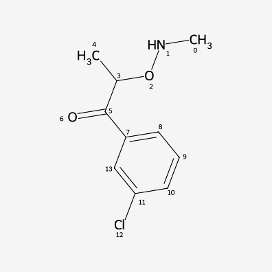 CNOC(C)C(=O)c1cccc(Cl)c1